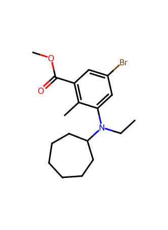 CCN(c1cc(Br)cc(C(=O)OC)c1C)C1CCCCCC1